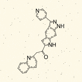 O=C(Cc1ccc2ccccc2n1)c1cc2cc3c(-c4ccncc4)n[nH]c3cc2[nH]1